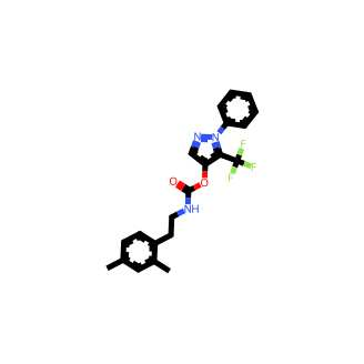 Cc1ccc(CCNC(=O)Oc2cnn(-c3ccccc3)c2C(F)(F)F)c(C)c1